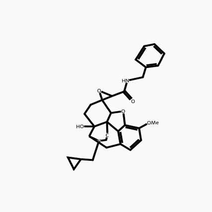 COc1ccc2c3c1OC1C4(CCC5(O)C(C2)N(CC2CC2)CCC315)OC4C(=O)NCc1ccccc1